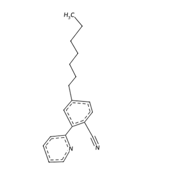 CCCCCCCc1ccc(C#N)c(-c2ccccn2)c1